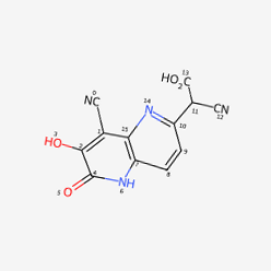 N#Cc1c(O)c(=O)[nH]c2ccc(C(C#N)C(=O)O)nc12